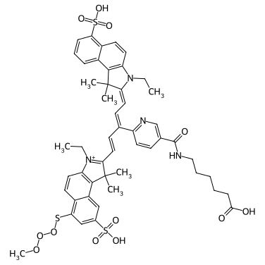 CCN1/C(=C/C=C(/C=C/C2=[N+](CC)c3ccc4c(SOOOC)cc(S(=O)(=O)O)cc4c3C2(C)C)c2ccc(C(=O)NCCCCCC(=O)O)cn2)C(C)(C)c2c1ccc1c(S(=O)(=O)O)cccc21